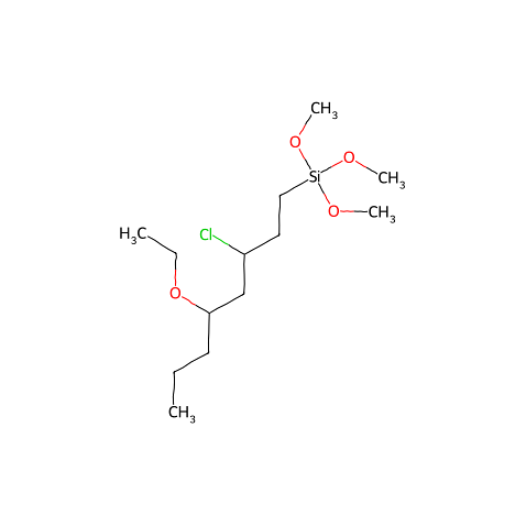 CCCC(CC(Cl)CC[Si](OC)(OC)OC)OCC